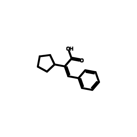 O=C(O)C(=Cc1ccccc1)C1CCCC1